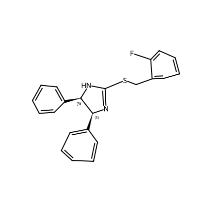 Fc1ccccc1CSC1=N[C@@H](c2ccccc2)[C@@H](c2ccccc2)N1